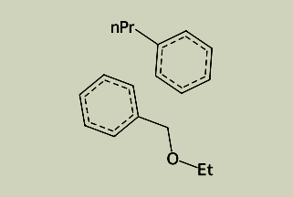 CCCc1ccccc1.CCOCc1ccccc1